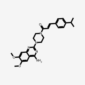 COc1cc2nc(N3CCN(C(=O)/C=C/c4ccc(C(C)C)cc4)CC3)nc(N)c2cc1OC